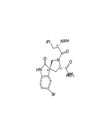 CN[C@@H](CC(C)C)C(=O)N1C[C@]2(C[C@H]1C(N)=O)C(=O)Nc1ccc(Br)cc12.Cl